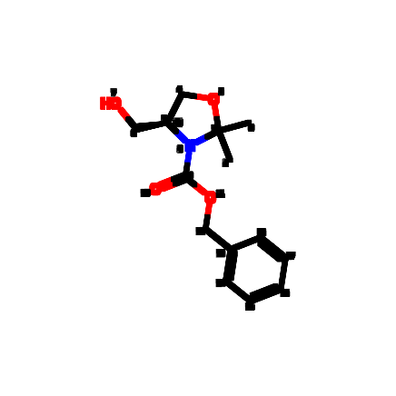 CC1(C)OC[C@H](CO)N1C(=O)OCc1ccccc1